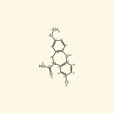 COc1ccc2c(c1)CN(C(=O)O)c1cc(Cl)ccc1O2